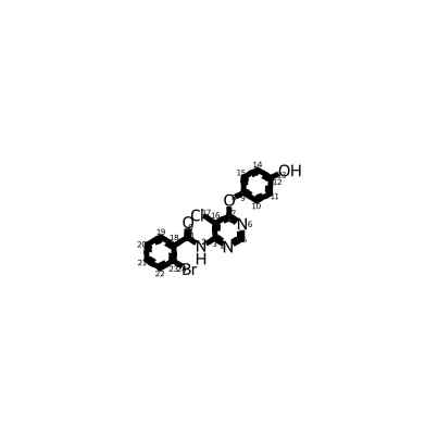 O=C(Nc1ncnc(Oc2ccc(O)cc2)c1Cl)c1ccccc1Br